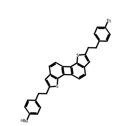 CCCCc1ccc(CCc2cc3ccc4c(c3s2)-c2ccc3cc(CCc5ccc(CC)cc5)sc3c2-4)cc1